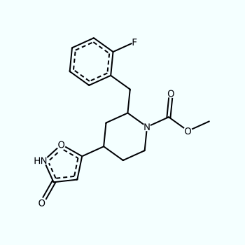 COC(=O)N1CCC(c2cc(=O)[nH]o2)CC1Cc1ccccc1F